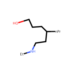 CCCC(CCCO)CCNCC